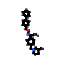 CC(=O)C1CCCN(Cc2ccc(/C(C)=N/OCc3ccc(-c4ccccc4)cc3)cc2)C1